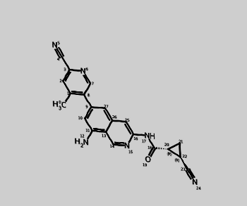 Cc1cc(C#N)ncc1-c1cc(N)c2cnc(NC(=O)[C@@H]3C[C@H]3C#N)cc2c1